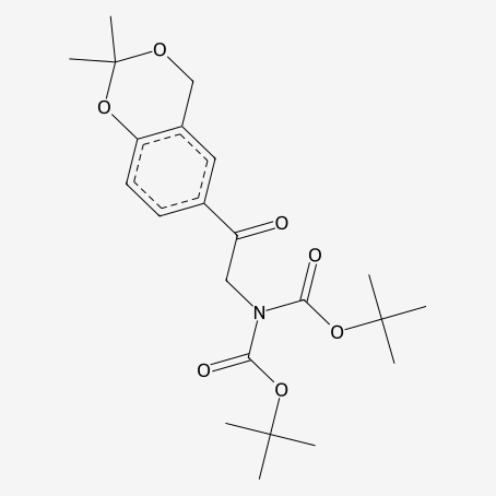 CC(C)(C)OC(=O)N(CC(=O)c1ccc2c(c1)COC(C)(C)O2)C(=O)OC(C)(C)C